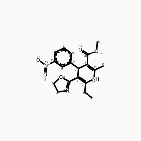 CCC1=C(C2=NCCO2)C(c2cccc([N+](=O)[O-])c2)C(C(=O)OC)=C(C)N1